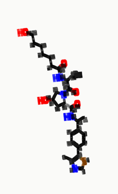 Cc1ncsc1-c1ccc(C(C)NC(=O)[C@@H]2C[C@@H](O)CN2C(=O)C(NC(=O)CCCCCCO)C(C)(C)C)cc1